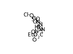 CCOC(=O)Cc1nc(CN2CCN(S(=O)(=O)c3cc4ccc(Cl)cc4s3)CC2=O)sc1CNC(=O)OCc1ccccc1